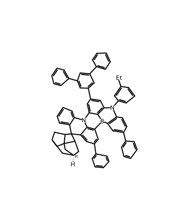 CCc1cccc(N2c3ccc(-c4ccccc4)cc3B3c4cc(-c5ccccc5)cc5c4N(c4ccccc4C54C5CC6C[C@@H]7CC4C5(C6)C7)c4cc(-c5cc(-c6ccccc6)cc(-c6ccccc6)c5)cc2c43)c1